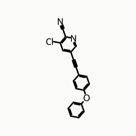 N#Cc1ncc(C#Cc2ccc(Oc3ccccc3)cc2)cc1Cl